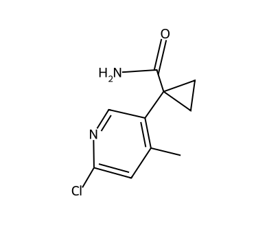 Cc1cc(Cl)ncc1C1(C(N)=O)CC1